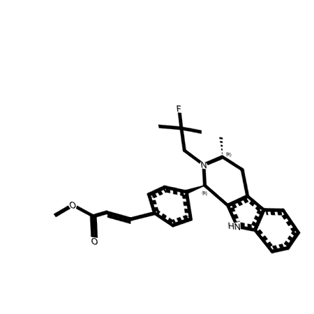 COC(=O)C=Cc1ccc([C@@H]2c3[nH]c4ccccc4c3C[C@@H](C)N2CC(C)(C)F)cc1